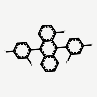 Fc1ccc(-c2c3ccccc3c(-c3ccc(F)cc3F)c3c(F)cccc23)c(F)c1